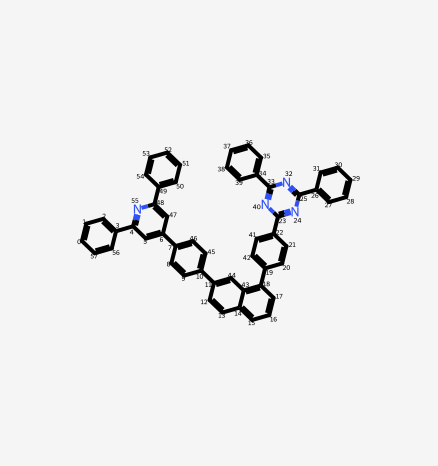 c1ccc(-c2cc(-c3ccc(-c4ccc5cccc(-c6ccc(-c7nc(-c8ccccc8)nc(-c8ccccc8)n7)cc6)c5c4)cc3)cc(-c3ccccc3)n2)cc1